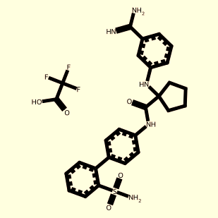 N=C(N)c1cccc(NC2(C(=O)Nc3ccc(-c4ccccc4S(N)(=O)=O)cc3)CCCC2)c1.O=C(O)C(F)(F)F